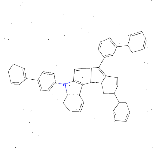 C1=CCC(c2cccc(C3=C4C=CC(C5C=CC=CC5)CC4C4C5=C(C=CC34)N(c3ccc(C4=CCCC=C4)cc3)C3CCC=CC53)c2)C=C1